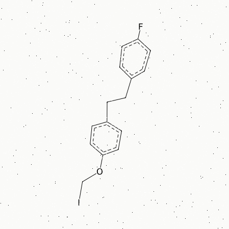 Fc1ccc(CCc2ccc(OCI)cc2)cc1